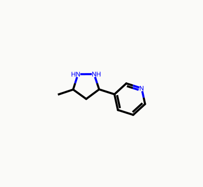 CC1CC(c2cccnc2)NN1